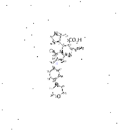 CCCC1=C(C(=O)O)C(c2scnc2C)n2c(s/c(=C\c3ccc(N4CCOCC4)cc3)c2=O)=N1